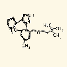 Cc1cc(C)c(-c2n[nH]cc2-c2[c]cccn2)c(COCC[Si](C)(C)C)c1